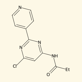 CCC(=O)Nc1cc(Cl)nc(-c2ccncc2)n1